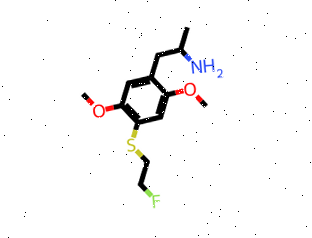 COc1cc(SCCF)c(OC)cc1CC(C)N